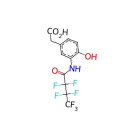 O=C(O)Cc1ccc(O)c(NC(=O)C(F)(F)C(F)(F)C(F)(F)F)c1